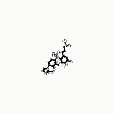 CCN(CC)CC=Cc1cc(F)ccc1N(c1ccc2c(c1C(=O)O)OCc1nccn1-2)[SH](=O)=O